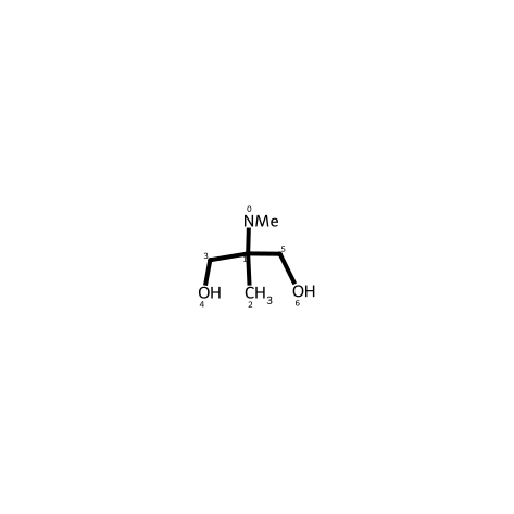 CNC(C)(CO)CO